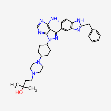 CC(C)(O)CCN1CCN(C2CCC(n3nc(-c4ccc5[nH]c(Cc6ccccc6)nc5c4)c4c(N)ncnc43)CC2)CC1